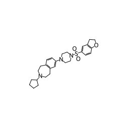 O=S(=O)(c1ccc2c(c1)CCO2)N1CCN(c2ccc3c(c2)CCN(C2CCCC2)CC3)CC1